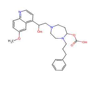 COc1ccc2nccc(C(O)CN3CCC(OC(=O)O)N(CCCc4ccccc4)CC3)c2c1